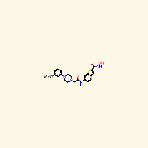 COc1cccc(N2CCN(CC(=O)Nc3ccc4cc(C(=O)NO)sc4c3)CC2)c1